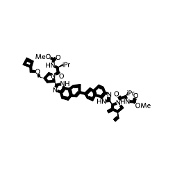 C=C[C@@H]1CN(C(=O)[C@@H](NC(=O)OC)C(C)C)[C@H](c2nc3ccc4cc(-c5ccc6c(ccc7nc([C@@H]8C[C@H](COCC9C=CC9)CN8C(=O)[C@@H](NC(=O)OC)C(C)C)[nH]c76)c5)ccc4c3[nH]2)C1=C